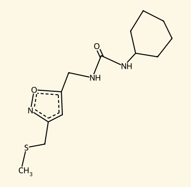 CSCc1cc(CNC(=O)NC2CCCCC2)on1